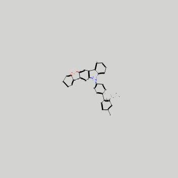 Cc1ccc(-c2ccc(-n3c4ccccc4c4cc5oc6ccccc6c5cc43)cc2)c(C#N)c1